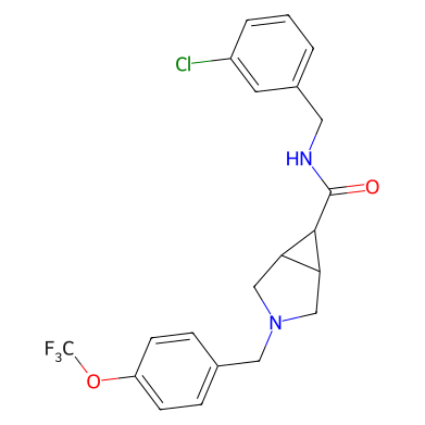 O=C(NCc1cccc(Cl)c1)C1C2CN(Cc3ccc(OC(F)(F)F)cc3)CC21